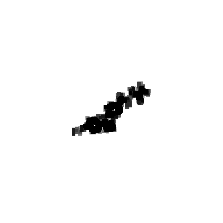 Bc1ccc(C2(Nc3ncc(C(=O)NNC(=O)C(F)F)cn3)CCC2)cc1